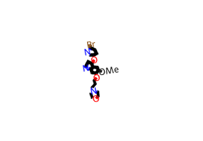 COc1cc2c(Oc3ccc(Br)nc3)ccnc2cc1OCCCN1CCOCC1